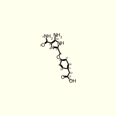 NC(=O)c1nc(COc2ccc(CC(=O)O)cc2)[nH]c1N